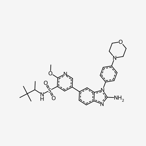 COc1ncc(-c2ccc3nc(N)n(-c4ccc(N5CCOCC5)cc4)c3c2)cc1S(=O)(=O)NC(C)C(C)(C)C